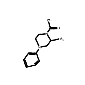 CC1CN(c2ccccc2)CCN1C(=O)O